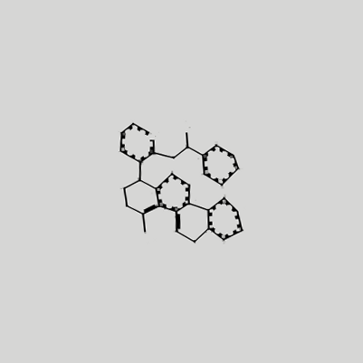 OC(Cc1ncccc1C1CCC(C(F)(F)F)=c2c1ccc1c2=CCc2ccccc2-1)c1ccccc1